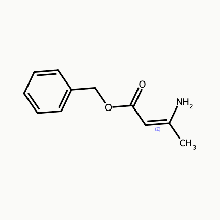 C/C(N)=C/C(=O)OCc1ccccc1